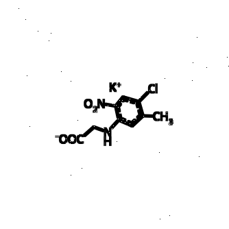 Cc1cc(NCC(=O)[O-])c([N+](=O)[O-])cc1Cl.[K+]